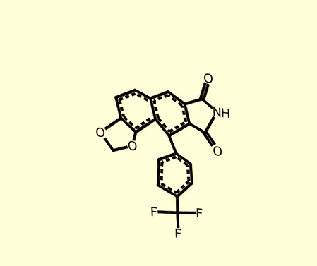 O=C1NC(=O)c2c1cc1ccc3c(c1c2-c1ccc(C(F)(F)F)cc1)OCO3